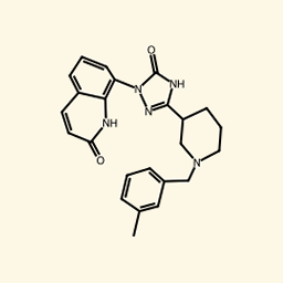 Cc1cccc(CN2CCCC(c3nn(-c4cccc5ccc(=O)[nH]c45)c(=O)[nH]3)C2)c1